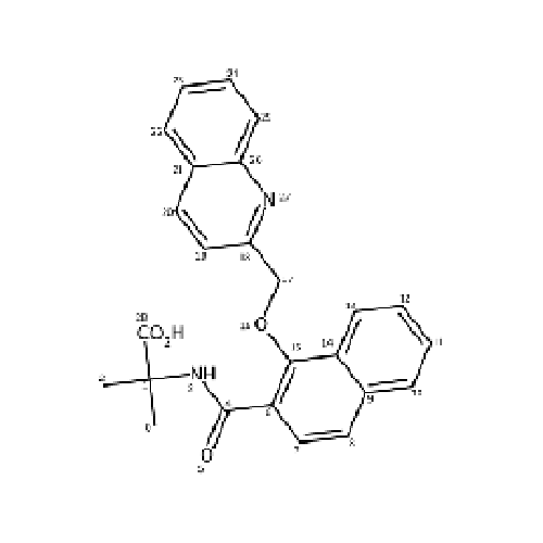 CC(C)(NC(=O)c1ccc2ccccc2c1OCc1ccc2ccccc2n1)C(=O)O